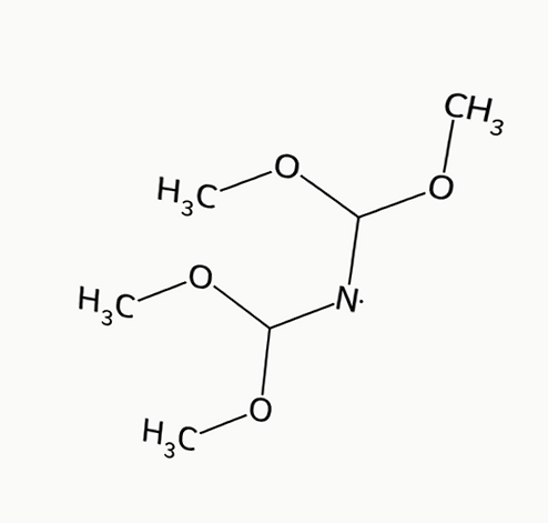 COC([N]C(OC)OC)OC